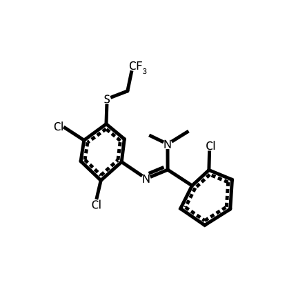 CN(C)/C(=N\c1cc(SCC(F)(F)F)c(Cl)cc1Cl)c1ccccc1Cl